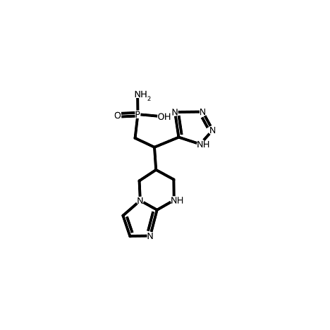 NP(=O)(O)CC(c1nnn[nH]1)C1CNc2nccn2C1